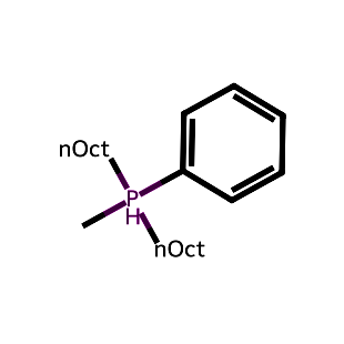 CCCCCCCC[PH](C)(CCCCCCCC)c1ccccc1